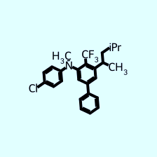 CC(C)CC(C)c1cc(-c2ccccc2)cc(N(C)c2ccc(Cl)cc2)c1C(F)(F)F